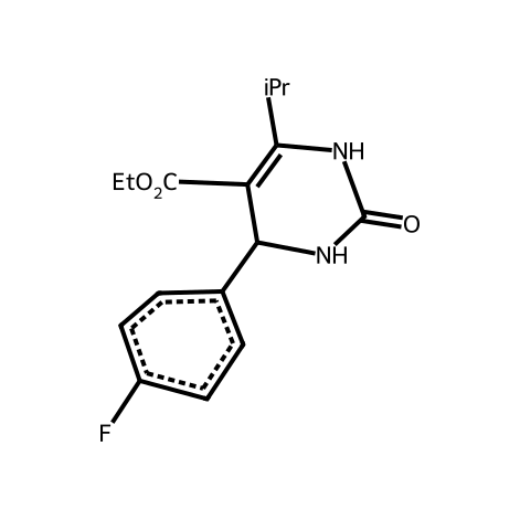 CCOC(=O)C1=C(C(C)C)NC(=O)NC1c1ccc(F)cc1